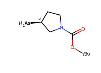 CC(C)(C)OC(=O)N1CC[C@H]([AsH2])C1